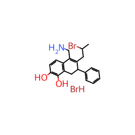 Br.CC(Br)CC1=C(CN)c2ccc(O)c(O)c2CC1c1ccccc1